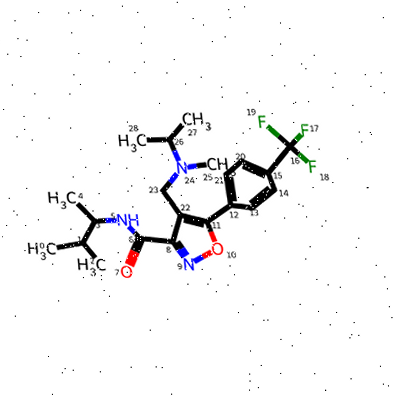 CC(C)C(C)NC(=O)c1noc(-c2ccc(C(F)(F)F)cc2)c1CN(C)C(C)C